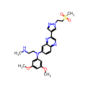 CNCCN(c1cc(OC)cc(OC)c1)c1ccc2ncc(-c3cnn(CCS(C)(=O)=O)c3)nc2c1